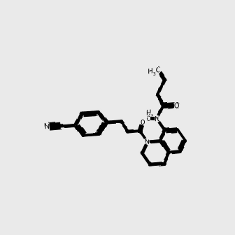 CCCC(=O)N(C)c1cccc2c1N(C(=O)CCc1ccc(C#N)cc1)CCC2